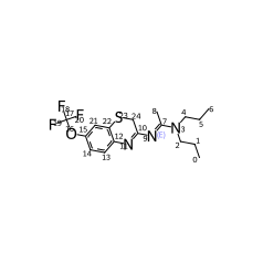 CCCN(CCC)/C(C)=N/C1=Nc2ccc(OC(F)(F)F)cc2SC1